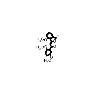 COc1ccc(OC)c(C(=O)C=C2OC(=O)c3cccc(OC)c32)c1